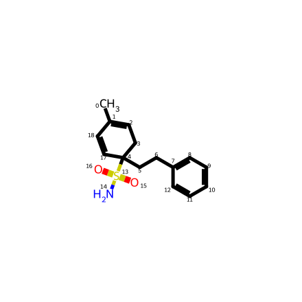 CC1=CCC(CCc2ccccc2)(S(N)(=O)=O)C=C1